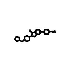 N#Cc1ccc(-c2ccc3c(c2)CN(C2CCN(CC4CCCC4)CC2)C3=O)cc1